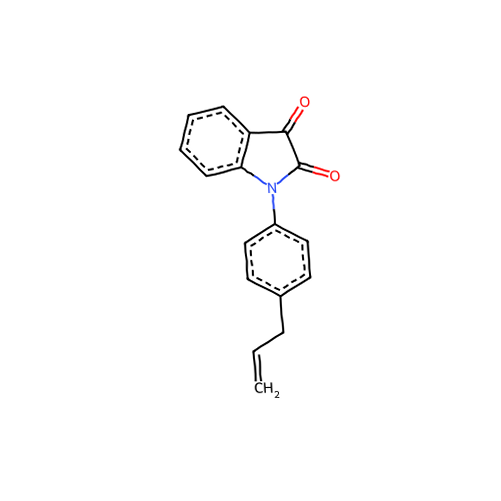 C=CCc1ccc(N2C(=O)C(=O)c3ccccc32)cc1